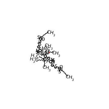 CCCCCCCCN1C(=O)/C(=C/c2ccc(-c3ccc(-c4cc(F)c(-c5ccc(-c6cc(O[Si](CCCCCC)(CCCCCC)CCCCCC)c(-c7ccc(-c8c(F)cc(-c9ccc(-c%10ccc(/C=C%11\SC(=S)N(CCCCCCCC)C%11=O)s%10)s9)c9nsnc89)s7)cc6O[Si](CCCCCC)(CCCCCC)CCCCCC)s5)c5nsnc45)s3)s2)SC1=S